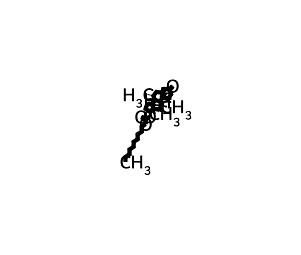 CCCCCCCCCCOC(=O)O[C@H]1CC[C@H]2[C@H]3[C@H]([C@@H](C)C[C@]12C)[C@H]1CCC(=O)C=C1C[C@H]3C